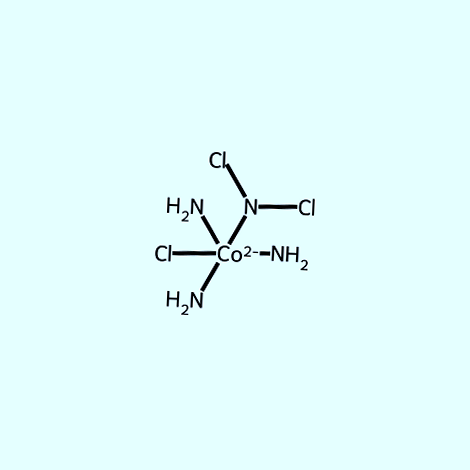 [NH2][Co-2]([NH2])([NH2])([Cl])[N](Cl)Cl